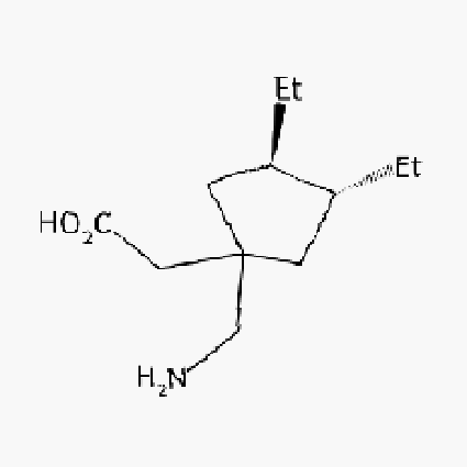 CC[C@@H]1CC(CN)(CC(=O)O)C[C@H]1CC